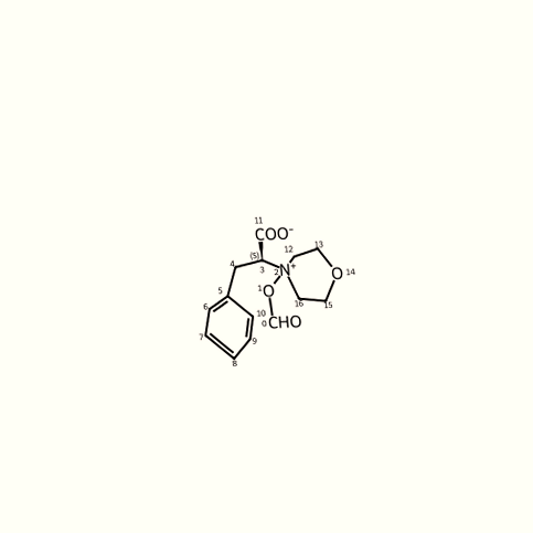 O=CO[N+]1([C@@H](Cc2ccccc2)C(=O)[O-])CCOCC1